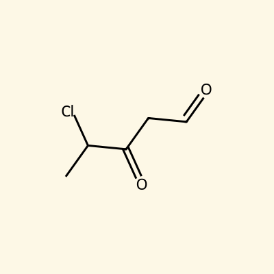 CC(Cl)C(=O)CC=O